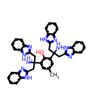 Cc1cc(C(N)(Cc2nc3ccccc3[nH]2)Cc2nc3ccccc3[nH]2)c(O)c(C(N)(Cc2nc3ccccc3[nH]2)Cc2nc3ccccc3[nH]2)c1